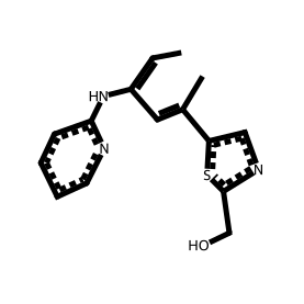 C/C=C(\C=C(/C)c1cnc(CO)s1)Nc1ccccn1